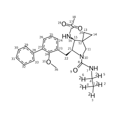 [2H]C([2H])([2H])C([2H])([2H])NC(=O)N1CC2(CC2)[C@H](NS(C)(=O)=O)[C@@H]1Cc1cccc(-c2ccccc2)c1OC